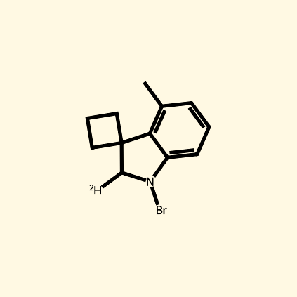 [2H]C1N(Br)c2cccc(C)c2C12CCC2